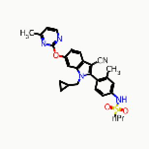 CCCS(=O)(=O)Nc1ccc(-c2c(C#N)c3ccc(Oc4nccc(C)n4)cc3n2CC2CC2)c(C)c1